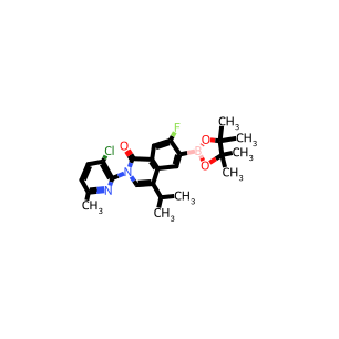 Cc1ccc(Cl)c(-n2cc(C(C)C)c3cc(B4OC(C)(C)C(C)(C)O4)c(F)cc3c2=O)n1